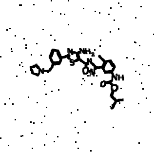 Cc1ccc(NC(=O)OCC(C)C)cc1-c1noc(-c2sc(-c3cccc(CN4CCCC4)c3)nc2N)n1